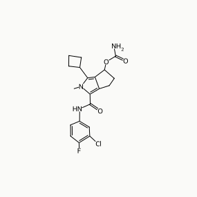 Cn1c(C(=O)Nc2ccc(F)c(Cl)c2)c2c(c1C1CCC1)C(OC(N)=O)CC2